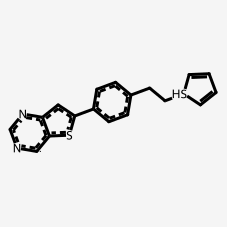 [c]1ncnc2cc(-c3ccc(CC[SH]4C=CC=C4)cc3)sc12